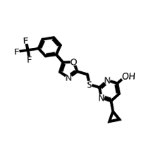 Oc1cc(C2CC2)nc(SCc2ncc(-c3cccc(C(F)(F)F)c3)o2)n1